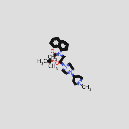 CN1CCC(N2CCN(C(=O)CN(C(=O)OC(C)(C)C)c3cccc4ccccc34)CC2)CC1